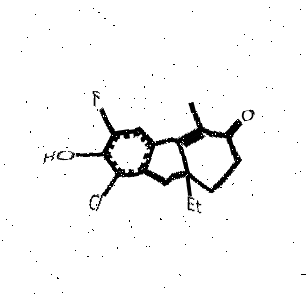 CCC12CCC(=O)C(C)=C1c1cc(F)c(O)c(Cl)c1C2